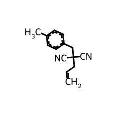 C=CCC(C#N)(C#N)Cc1ccc(C)cc1